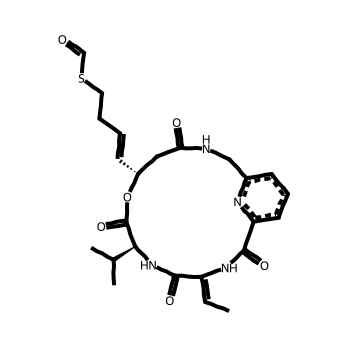 C/C=C1\NC(=O)c2cccc(n2)CNC(=O)C[C@@H](/C=C/CCSC=O)OC(=O)[C@H](C(C)C)NC1=O